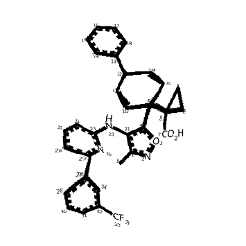 Cc1noc(C2(C3(C(=O)O)CC3)C=CC(c3ccccc3)C=C2)c1Nc1cccc(-c2cccc(C(F)(F)F)c2)n1